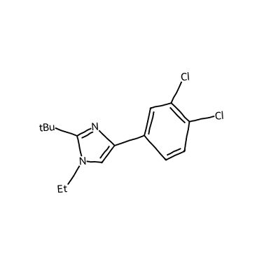 CCn1cc(-c2ccc(Cl)c(Cl)c2)nc1C(C)(C)C